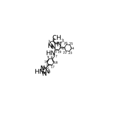 Cc1cnn2c(NCc3ccc(-c4nn[nH]n4)cc3)cc(C3CCCCC3)nc12